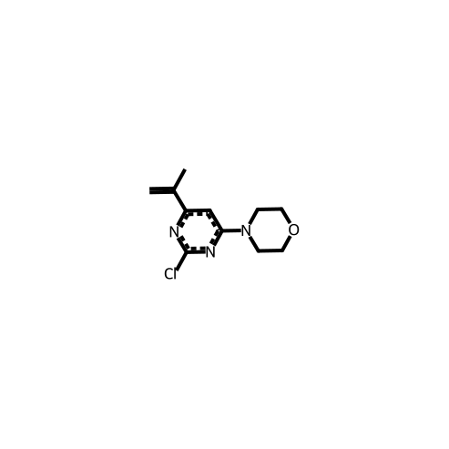 C=C(C)c1cc(N2CCOCC2)nc(Cl)n1